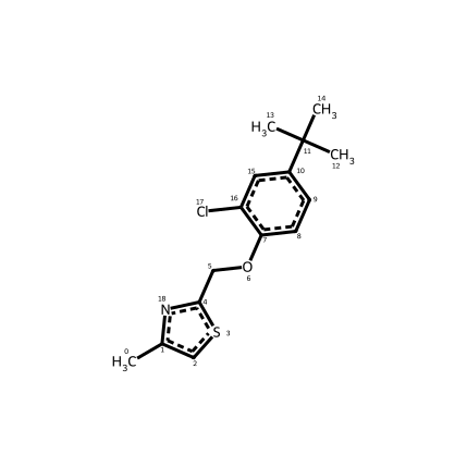 Cc1csc(COc2ccc(C(C)(C)C)cc2Cl)n1